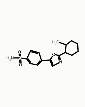 CC1CCCCC1c1ncc(-c2ccc(S(N)(=O)=O)cc2)o1